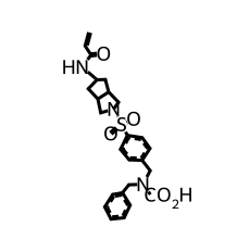 C=CC(=O)NC1CC2CN(S(=O)(=O)c3ccc(CN(Cc4ccccc4)C(=O)O)cc3)CC2C1